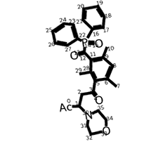 CC(=O)C(CC(=O)c1c(C)cc(C)c(C(=O)P(=O)(c2ccccc2)c2ccccc2)c1C)N1CCOCC1